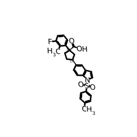 Cc1ccc(S(=O)(=O)n2ccc3cc([C@H]4CC[C@](C(=O)O)(c5cccc(F)c5C)C4)ccc32)cc1